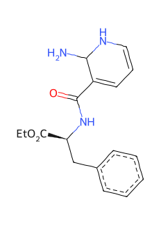 CCOC(=O)[C@H](Cc1ccccc1)NC(=O)C1=CC=CNC1N